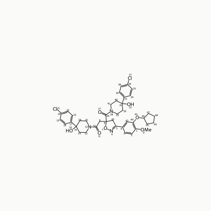 COc1ccc(C2=NOC(CC(=O)N3CCC(O)(c4ccc(Cl)cc4)CC3)(C(=O)N3CCC(O)(c4ccc(Cl)cc4)CC3)C2)cc1OC1CCCC1